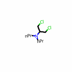 CCCN(CCC)C(CCl)CCl